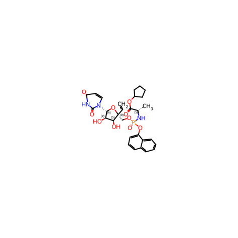 C=C[C@]1(COP(=O)(N[C@@H](C)C(=O)OC2CCCC2)Oc2cccc3ccccc23)O[C@@H](n2ccc(=O)[nH]c2=O)[C@H](O)[C@@H]1O